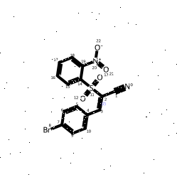 N#C/C(=C/c1ccc(Br)cc1)S(=O)(=O)c1ccccc1[N+](=O)[O-]